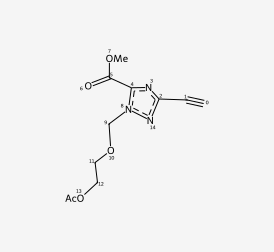 C#Cc1nc(C(=O)OC)n(COCCOC(C)=O)n1